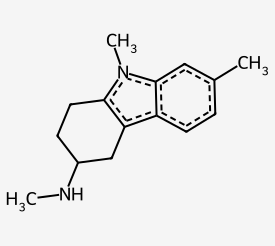 CNC1CCc2c(c3ccc(C)cc3n2C)C1